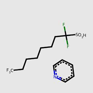 O=S(=O)(O)C(F)(F)CCCCCCC(F)(F)F.c1ccncc1